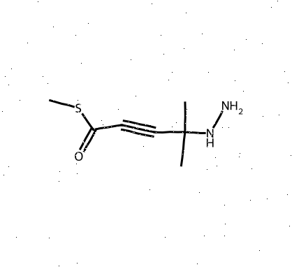 CSC(=O)C#CC(C)(C)NN